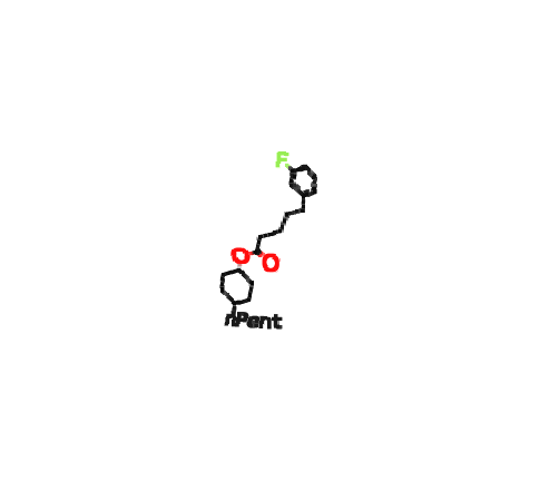 CCCCC[C@H]1CC[C@H](OC(=O)CCCCc2cccc(F)c2)CC1